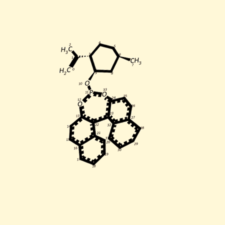 C=C(C)[C@@H]1CC[C@@H](C)C[C@H]1Op1oc2ccc3ccccc3c2c2c(ccc3ccccc32)o1